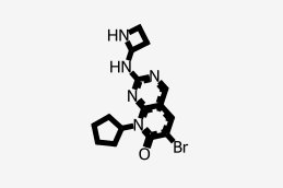 O=c1c(Br)cc2cnc(NC3CCN3)nc2n1C1CCCC1